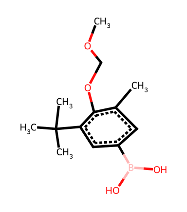 COCOc1c(C)cc(B(O)O)cc1C(C)(C)C